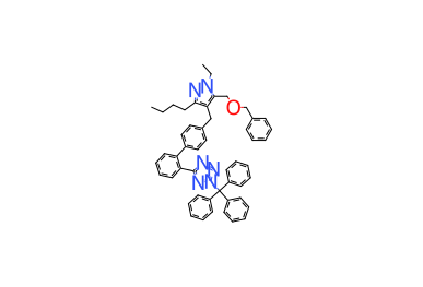 CCCCc1nn(CC)c(COCc2ccccc2)c1Cc1ccc(-c2ccccc2-c2nnn(C(c3ccccc3)(c3ccccc3)c3ccccc3)n2)cc1